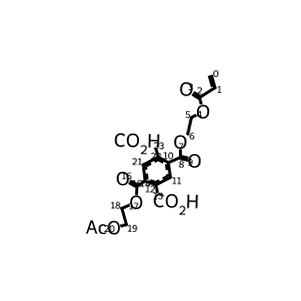 C=CC(=O)OCCOC(=O)c1cc(C(=O)O)c(C(=O)OCCOC(C)=O)cc1C(=O)O